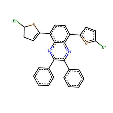 Brc1ccc(-c2ccc(C3=CCC(Br)S3)c3nc(-c4ccccc4)c(-c4ccccc4)nc23)s1